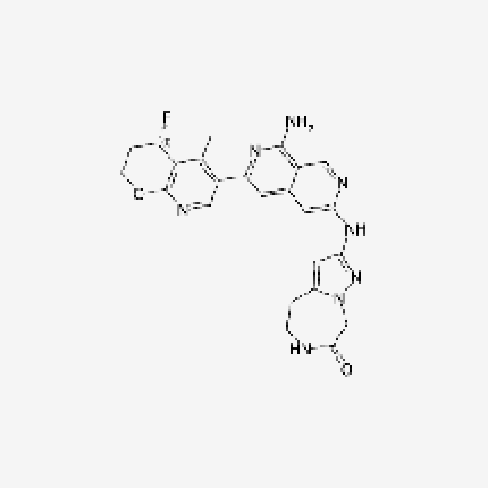 Cc1c(-c2cc3cc(Nc4cc5n(n4)CC(=O)NCC5)ncc3c(N)n2)cnc2c1[C@@H](F)CCO2